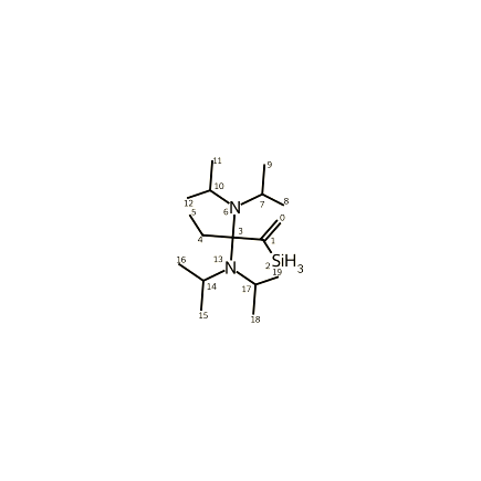 C=C([SiH3])C(CC)(N(C(C)C)C(C)C)N(C(C)C)C(C)C